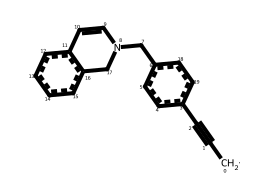 [CH2]C#Cc1ccc(CN2C=Cc3ccccc3C2)cc1